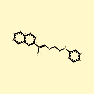 C/C(=C\OCCOc1ccccc1)c1ccc2ccccc2c1